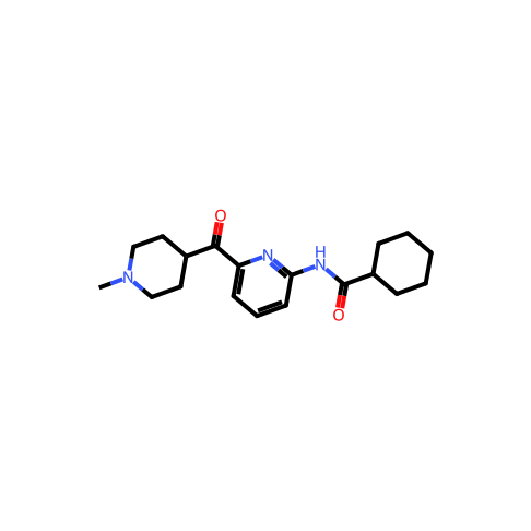 CN1CCC(C(=O)c2cccc(NC(=O)C3CCCCC3)n2)CC1